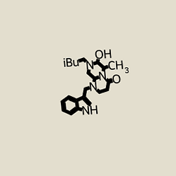 CCC(C)CN1CC2N(Cc3c[nH]c4ccccc34)CCC(=O)N2C(C)C1O